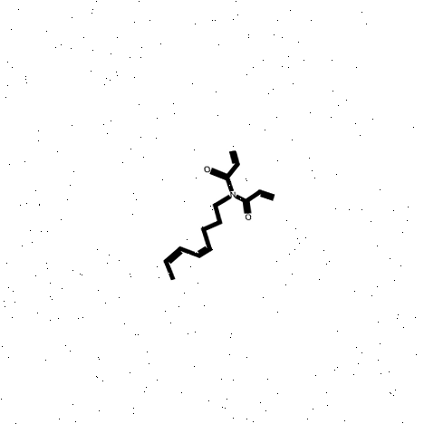 C=CC(=O)N(CCC/C=C\C=C/C)C(=O)C=C